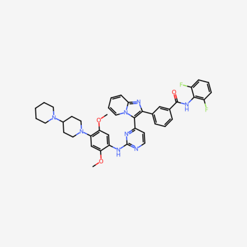 COc1cc(N2CCC(N3CCCCC3)CC2)c(OC)cc1Nc1nccc(-c2c(-c3cccc(C(=O)Nc4c(F)cccc4F)c3)nc3ccccn23)n1